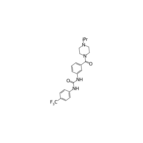 CC(C)N1CCN(C(=O)c2cccc(NC(=O)Nc3ccc(C(F)(F)F)cc3)c2)CC1